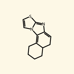 C1=c2nc3sccn3c2=C2CCCCC2C1